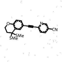 CSC1(SC)CCOc2ccc(C#Cc3ccc(C#N)cn3)cc21